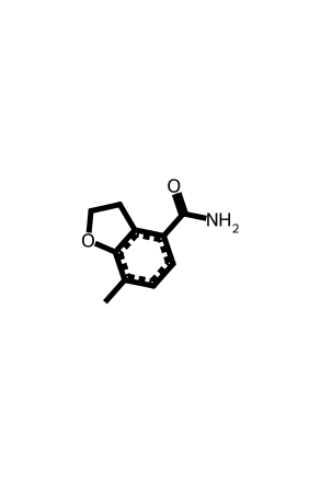 Cc1ccc(C(N)=O)c2c1OCC2